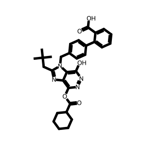 CC(C)(C)Cc1nc2c(OC(=O)C3CCCCC3)nnc(O)c2n1Cc1ccc(-c2ccccc2C(=O)O)cc1